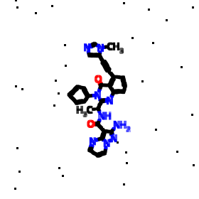 C[C@H](NC(=O)c1c(N)nn2cccnc12)c1nc2cccc(C#Cc3cncn3C)c2c(=O)n1-c1ccccc1